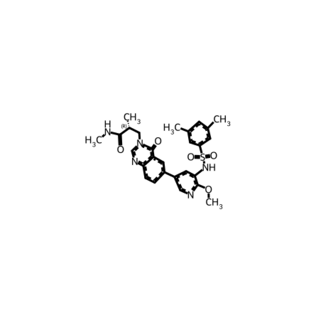 CNC(=O)[C@H](C)Cn1cnc2ccc(-c3cnc(OC)c(NS(=O)(=O)c4cc(C)cc(C)c4)c3)cc2c1=O